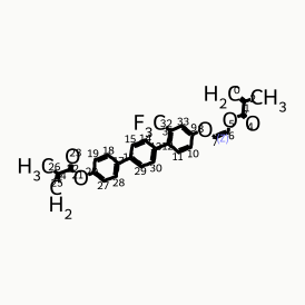 C=C(C)C(=O)O/C=C\Oc1ccc(-c2ccc(-c3ccc(OC(=O)C(=C)C)cc3)cc2)c(C(F)(F)F)c1